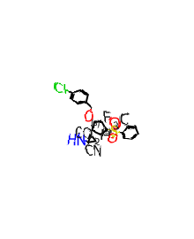 N#CC1(NC(=O)O)CC1.O=S(=O)(c1ccccc1C(F)(F)F)[C@H]1CC[C@H](OCc2ccc(Cl)cc2)C1